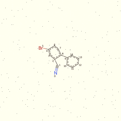 N#Cc1cc(Br)ccc1-c1ccccc1